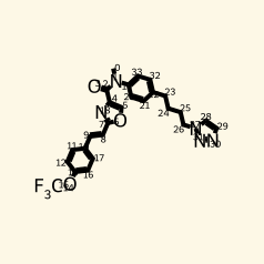 CN(C(=O)c1coc(/C=C/c2ccc(OC(F)(F)F)cc2)n1)c1ccc(CCCCn2ccnn2)cc1